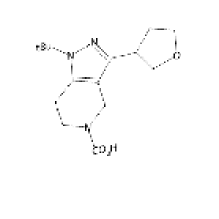 CC(C)(C)n1nc(C2CCOC2)c2c1CCN(C(=O)O)C2